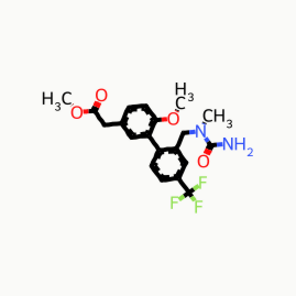 COC(=O)Cc1ccc(OC)c(-c2ccc(C(F)(F)F)cc2CN(C)C(N)=O)c1